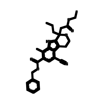 CCCC1(CC(=O)OCC)OCCc2c1[nH]c1c(C)c(C(=O)OCc3ccccc3)cc(C#N)c21